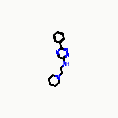 c1ccc(-c2ncc(NCCN3CCCCC3)nn2)cc1